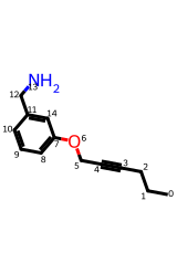 CCCC#CCOc1cccc(CN)c1